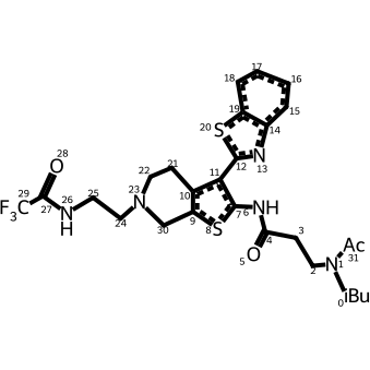 CCC(C)N(CCC(=O)Nc1sc2c(c1-c1nc3ccccc3s1)CCN(CCNC(=O)C(F)(F)F)C2)C(C)=O